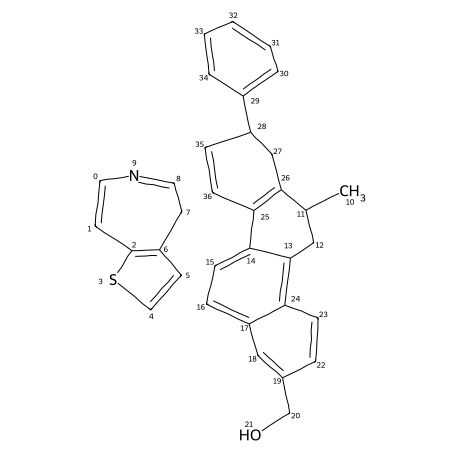 C1=Cc2sccc2CC=N1.CC1Cc2c(ccc3cc(CO)ccc23)C2=C1CC(c1ccccc1)C=C2